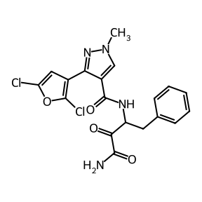 Cn1cc(C(=O)NC(Cc2ccccc2)C(=O)C(N)=O)c(-c2cc(Cl)oc2Cl)n1